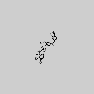 COc1cc(S(=O)(=O)Cc2ccc3c(c2)CNC3)ccc1NC(=O)NC(C)c1cccc(Cl)c1Cl